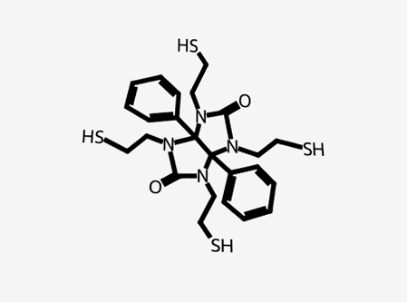 O=C1N(CCS)C2(c3ccccc3)N(CCS)C(=O)N(CCS)C2(c2ccccc2)N1CCS